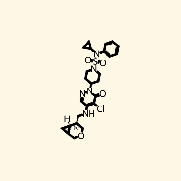 O=c1c(Cl)c(NC[C@H]2COCC3C[C@H]32)cnn1C1CCN(S(=O)(=O)N(c2ccccc2)C2CC2)CC1